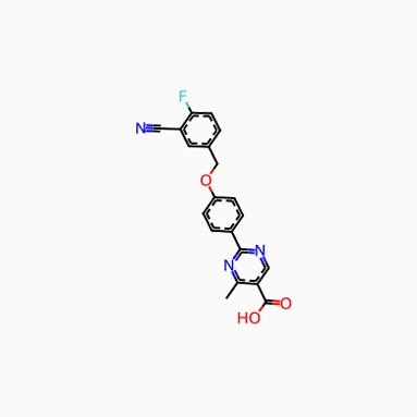 Cc1nc(-c2ccc(OCc3ccc(F)c(C#N)c3)cc2)ncc1C(=O)O